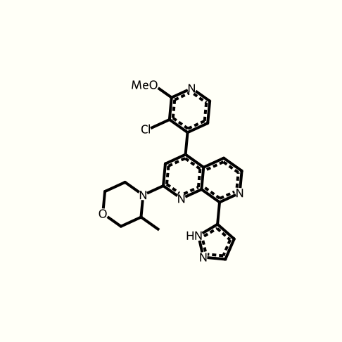 COc1nccc(-c2cc(N3CCOCC3C)nc3c(-c4ccn[nH]4)nccc23)c1Cl